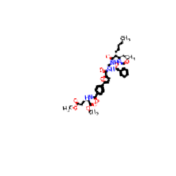 CCCCC[C@@H](C(=O)NCNC(=O)c1ccc(-c2ccc(C(=O)N[C@@H](CCC(=O)OC)C(=O)OC)cc2)o1)[C@@H](CC)N(C=O)OCc1ccccc1